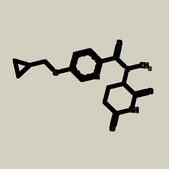 CN(C(=O)c1ccc(OCC2CC2)cn1)C1CCC(=O)NC1=O